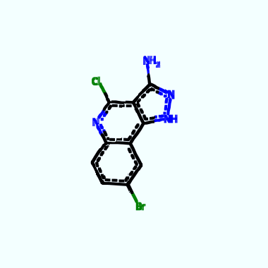 Nc1n[nH]c2c1c(Cl)nc1ccc(Br)cc12